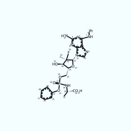 CC(C)Nc1nc(N)nc2c1ncn2[C@@H]1O[C@H](COP(=O)(N[C@@H](C)C(=O)O)Oc2ccccc2)[C@@H](O)[C@@]1(C)F